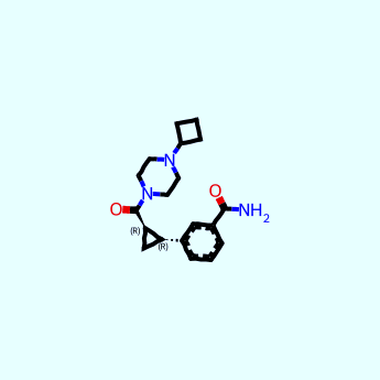 NC(=O)c1cccc([C@@H]2C[C@H]2C(=O)N2CCN(C3CCC3)CC2)c1